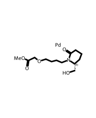 COC(=O)COCCCCN1C(=O)CCC[C@@H]1CO.[Pd]